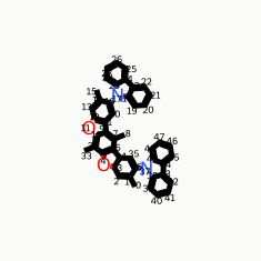 CC1=CC2Oc3c(c(C)c4c(oc5cc(C)c(-n6c7ccccc7c7ccccc76)cc54)c3C)C2C=C1n1c2ccccc2c2ccccc21